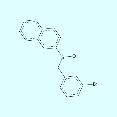 [O-][S+](Cc1cccc(Br)c1)c1ccc2ccccc2c1